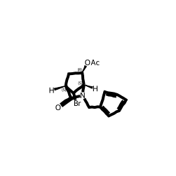 CC(=O)O[C@@H]1C[C@H]2C(=O)N(Cc3ccccc3)[C@@H]1C2Br